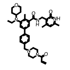 C=CC(=O)N1CCN(Cc2ccc(-c3cc(C(=O)NCc4c(C)cc(C)[nH]c4=O)c(C)c(N(CC)C4CCOCC4)c3)cc2)CC1